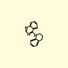 c1ccc2c(c1)CCCN2c1ncnc2ccccc12